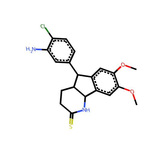 COc1cc2c(cc1OC)C(c1ccc(Cl)c(N)c1)C1CCC(=S)NC21